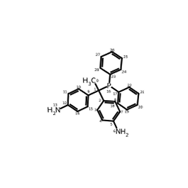 CC(c1ccc(N)cc1)(c1ccc(N)cc1)P(c1ccccc1)c1ccccc1